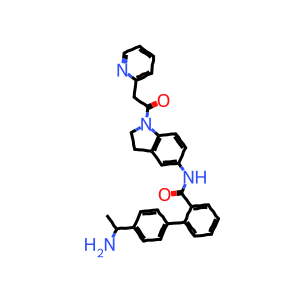 CC(N)c1ccc(-c2ccccc2C(=O)Nc2ccc3c(c2)CCN3C(=O)Cc2ccccn2)cc1